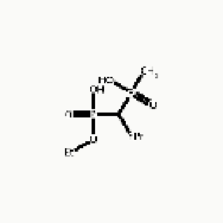 CCCC(P(C)(=O)O)P(=O)(O)OCC